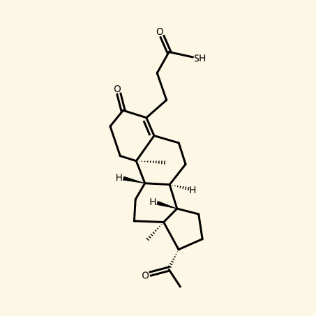 CC(=O)[C@H]1CC[C@H]2[C@@H]3CCC4=C(CCC(=O)S)C(=O)CC[C@]4(C)[C@H]3CC[C@]12C